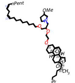 CCCCC/C=C\C/C=C\CCCCCCCCOCC(CN1CCC(OC)C1)OCCO[C@H]1CC[C@@]2(C)C(=CC[C@H]3[C@@H]4CC[C@H]([C@H](C)CCCC(C)C)[C@@]4(C)CC[C@@H]32)C1